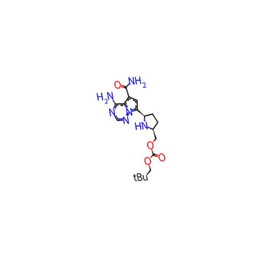 CC(C)(C)COC(=O)OC[C@@H]1CC[C@H](c2cc(C(N)=O)c3c(N)ncnn23)N1